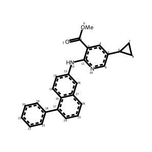 COC(=O)c1cc(C2CC2)cnc1Nc1ccc2c(-c3ccccc3)cccc2c1